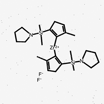 CC1=CCC([Si](C)(C)N2CCCC2)=[C]1[Zr+2][C]1=C([Si](C)(C)N2CCCC2)CC=C1C.[F-].[F-]